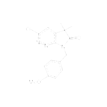 COc1ccc(CN2C(=O)C(C)(C)c3cc(Cl)nnc32)cc1